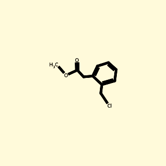 COC(=O)Cc1ccccc1CCl